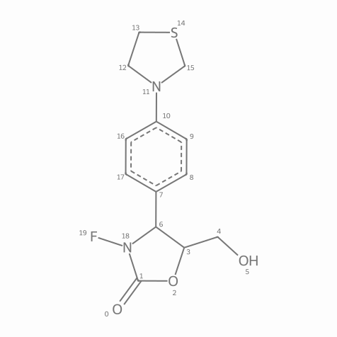 O=C1OC(CO)C(c2ccc(N3CCSC3)cc2)N1F